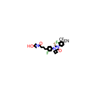 N#Cc1ccc(N2C(=O)C3(CCC3)N(c3ccc(CCCC(=O)N4CC(O)C4)c(F)c3)C2=S)c(F)c1C(F)(F)F